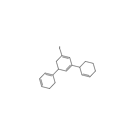 IC1=CC(C2C=CCCC2)=CC(C2=CC=CCC2)C1